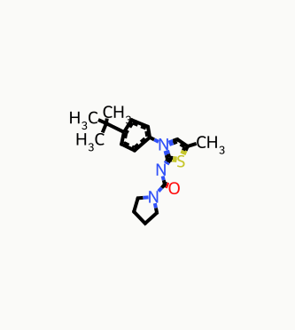 Cc1cn(-c2ccc(C(C)(C)C)cc2)c(=NC(=O)N2CCCC2)s1